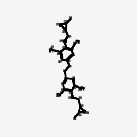 CC(C)c1cc(CCc2cc(C(C)C)c(OCC3OC3C)c(C(C)C)c2)cc(C(C)C)c1OCC1OC1C